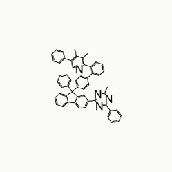 Cc1nc(-c2ccccc2)nc(-c2ccc3c(c2)C(c2ccccc2)(c2ccc(-c4ccccc4-c4ncc(-c5ccccc5)c(C)c4C)cc2)c2ccccc2-3)n1